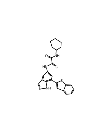 O=C(Nc1cc(-c2cc3ccccc3s2)c2[nH]ncc2c1)C(=O)NC1CCCCC1